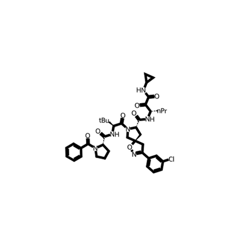 CCC[C@H](NC(=O)[C@@H]1C[C@]2(CC(c3cccc(Cl)c3)=NO2)CN1C(=O)[C@@H](NC(=O)[C@@H]1CCCN1C(=O)c1ccccc1)C(C)(C)C)C(=O)C(=O)NC1CC1